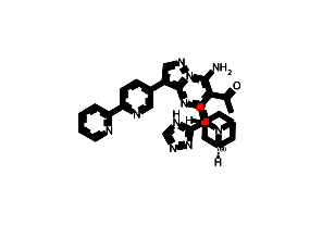 CC(=O)c1c([C@@H]2CC3C[C@@H](C2)N3C(=O)c2nnc[nH]2)nc2c(-c3ccc(-c4ccccn4)nc3)cnn2c1N